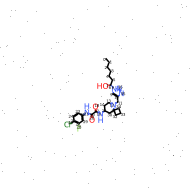 CCCCCCC(O)n1cc(CN2CCC(NC(=O)C(=O)Nc3ccc(Cl)c(F)c3)CC23CCC3)nn1